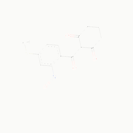 CSc1ccc(C(=O)C2C(=O)CCCC2=O)c(N=O)c1